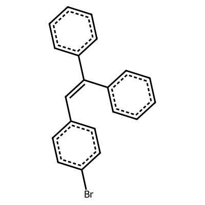 Brc1ccc(C=C(c2ccccc2)c2ccccc2)cc1